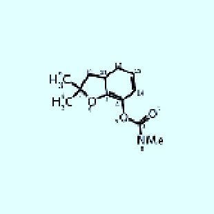 CNC(=O)OC1=C2OC(C)(C)CC2CC=C1